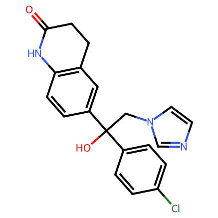 O=C1CCc2cc(C(O)(Cn3ccnc3)c3ccc(Cl)cc3)ccc2N1